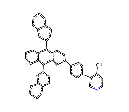 Cc1ccncc1-c1ccc(-c2ccc3c(-c4ccc5ccccc5c4)c4ccccc4c(-c4ccc5ccccc5c4)c3c2)cc1